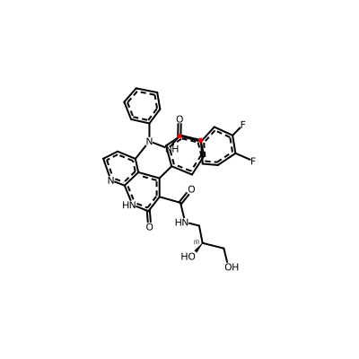 O=C(NN(c1ccccc1)c1ccnc2[nH]c(=O)c(C(=O)NC[C@H](O)CO)c(-c3ccccc3)c12)c1ccc(F)c(F)c1